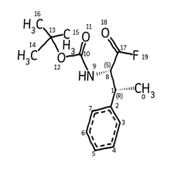 C[C@H](c1ccccc1)[C@H](NC(=O)OC(C)(C)C)C(=O)F